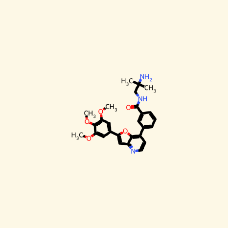 COc1cc(-c2cc3nccc(-c4cccc(C(=O)NCC(C)(C)N)c4)c3o2)cc(OC)c1OC